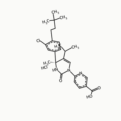 CC(C)C1=CN(c2ccc(C(=O)O)cn2)C(=O)N[C@@]1(C)c1ccc(CCC(C)(C)C)c(Cl)c1.Cl